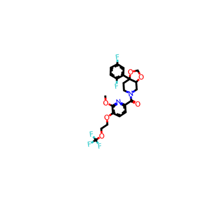 COc1nc(C(=O)N2CCC3(c4cc(F)ccc4F)OCOC3C2)ccc1OCCOC(F)(F)F